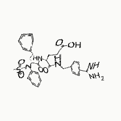 CS(=O)(=O)N(c1ccccc1)[C@H](CCc1ccccc1)C(=O)N[C@@H](CCC(=O)O)C(=O)NCc1ccc(C(=N)N)cc1